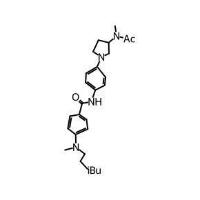 CCC(C)CCN(C)c1ccc(C(=O)Nc2ccc(N3CCC(N(C)C(C)=O)C3)cc2)cc1